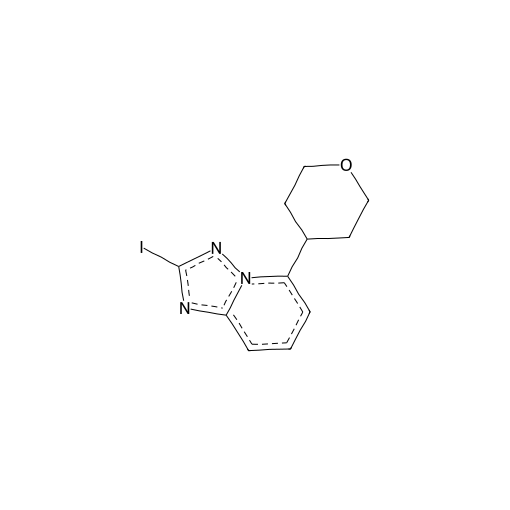 Ic1nc2cccc(C3CCOCC3)n2n1